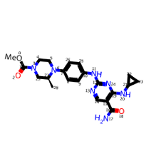 COC(=O)N1CCN(c2ccc(Nc3ncc(C(N)=O)c(NC4CC4)n3)cc2)[C@@H](C)C1